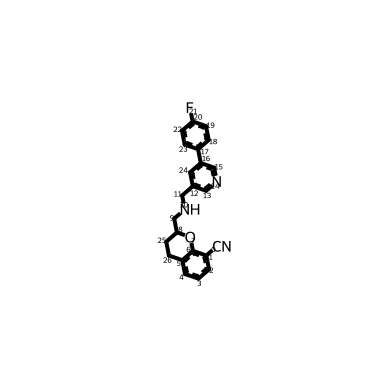 N#Cc1cccc2c1OC(CNCc1cncc(-c3ccc(F)cc3)c1)CC2